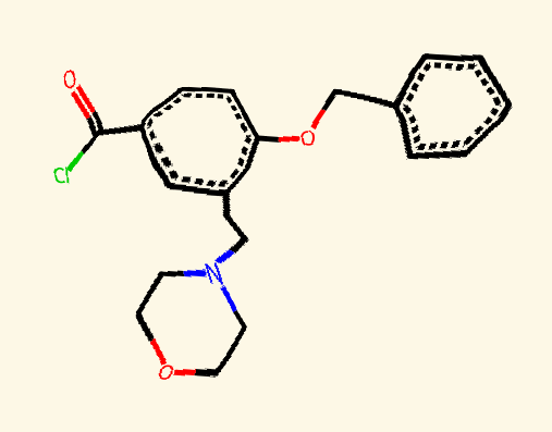 O=C(Cl)c1ccc(OCc2ccccc2)c(CN2CCOCC2)c1